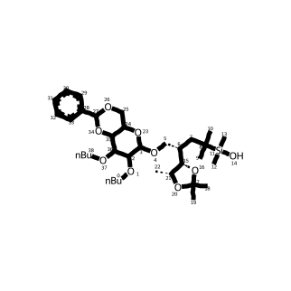 CCCCOC1C(OC[C@H](CC(C)(C)[Si](C)(C)O)[C@@H]2OC(C)(C)O[C@@H]2C)OC2COC(c3ccccc3)OC2C1OCCCC